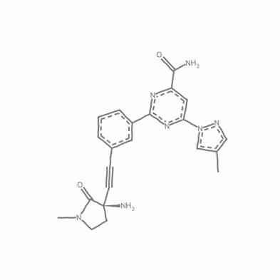 Cc1cnn(-c2cc(C(N)=O)nc(-c3cccc(C#C[C@]4(N)CCN(C)C4=O)c3)n2)c1